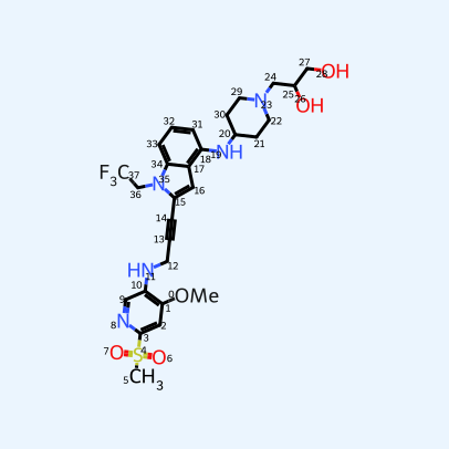 COc1cc(S(C)(=O)=O)ncc1NCC#Cc1cc2c(NC3CCN(CC(O)CO)CC3)cccc2n1CC(F)(F)F